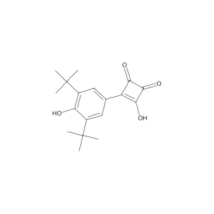 CC(C)(C)c1cc(-c2c(O)c(=O)c2=O)cc(C(C)(C)C)c1O